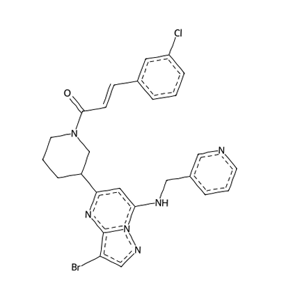 O=C(/C=C/c1cccc(Cl)c1)N1CCCC(c2cc(NCc3cccnc3)n3ncc(Br)c3n2)C1